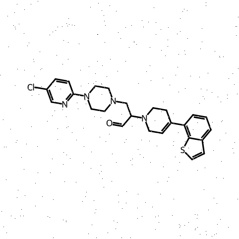 O=CC(CN1CCN(c2ccc(Cl)cn2)CC1)N1CC=C(c2cccc3ccsc23)CC1